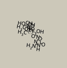 CCC(C)(C[C@H]1OC(n2ccc3c(=O)[nH]c(N)nc32)=C(O)[C@@H]1O)OP(=O)(O)C(C)(C)O